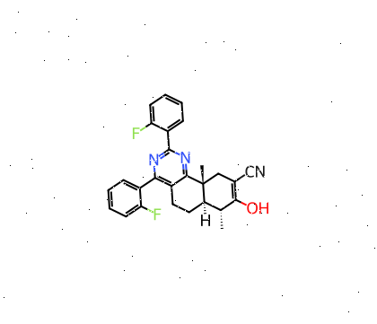 C[C@H]1C(O)=C(C#N)C[C@@]2(C)c3nc(-c4ccccc4F)nc(-c4ccccc4F)c3CC[C@H]12